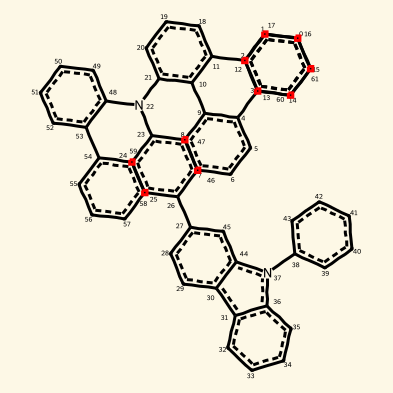 c1ccc(-c2ccccc2-c2c(-c3ccccc3)cccc2N(c2ccc(-c3ccc4c5ccccc5n(-c5ccccc5)c4c3)cc2)c2ccccc2-c2ccccc2)cc1